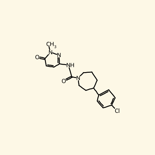 Cn1nc(NC(=O)N2CCCC(c3ccc(Cl)cc3)CC2)ccc1=O